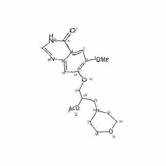 COc1cc2c(=O)[nH]cnc2cc1OCC(CN1CCOCC1)OC(C)=O